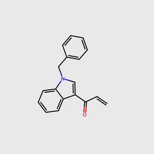 C=CC(=O)c1cn(Cc2ccccc2)c2ccccc12